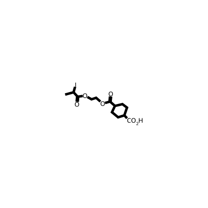 CC(I)C(=O)OCCOC(=O)C1CCC(C(=O)O)CC1